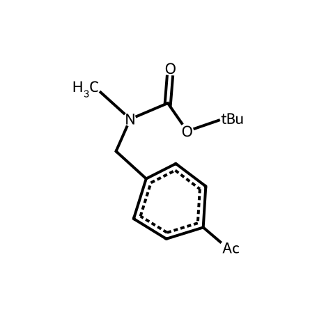 CC(=O)c1ccc(CN(C)C(=O)OC(C)(C)C)cc1